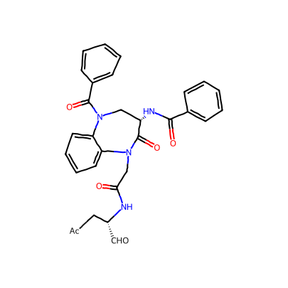 CC(=O)C[C@@H](C=O)NC(=O)CN1C(=O)[C@@H](NC(=O)c2ccccc2)CN(C(=O)c2ccccc2)c2ccccc21